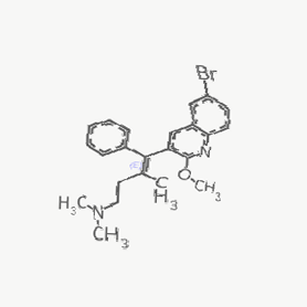 COc1nc2ccc(Br)cc2cc1/C(=C(\C)CCN(C)C)c1ccccc1